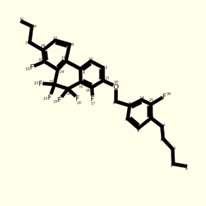 CCCCCc1ccc(COc2ccc3c(c2F)C(F)(F)C(F)(F)c2c-3ccc(CCC)c2F)cc1F